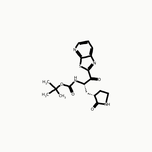 CC(C)(C)OC(=O)N[C@@H](C[C@@H]1CCNC1=O)C(=O)c1nc2cccnc2s1